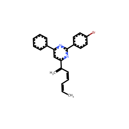 C=C(/C=C\C=C/C)c1cc(-c2ccccc2)nc(-c2ccc(Br)cc2)n1